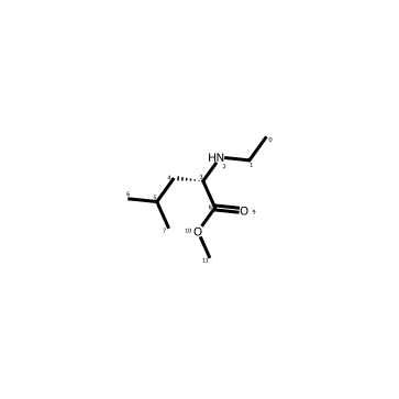 CCN[C@@H](CC(C)C)C(=O)OC